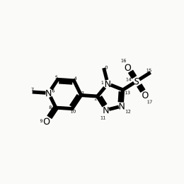 Cn1c(-c2ccn(C)c(=O)c2)nnc1S(C)(=O)=O